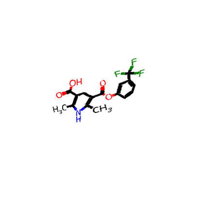 CC1=C(C(=O)O)CC(C(=O)Oc2cccc(C(F)(F)F)c2)=C(C)N1